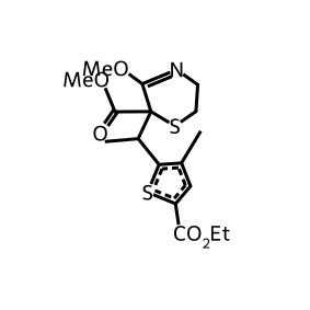 CCOC(=O)c1cc(C)c(C(C)C2(C(=O)OC)SCCN=C2OC)s1